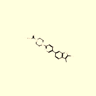 Cc1c(Br)[nH]c2cc(-c3ccc(N4CCN(C(=O)OC(C)(C)C)CC4)nc3)ccc12